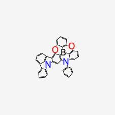 c1ccc(N2c3cccc4c3B3c5c(cccc5Oc5c3c2cc2c5c3cccc5c6ccccc6n2c53)O4)cc1